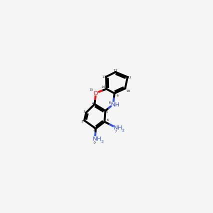 Nc1ccc2c(c1N)Nc1ccccc1O2